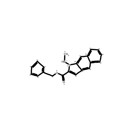 CBn1c(C(=O)OCc2ccccc2)cc2cc3ccccc3cc21